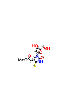 COC(=O)Cc1cn([C@H]2C[C@@H](O)[C@H](CO)O2)c(=O)[nH]c1=S